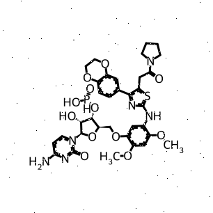 COc1cc(OC)c(OC[C@H]2O[C@@H](n3ccc(N)nc3=O)[C@H](O)[C@@H]2O[PH](=O)O)cc1Nc1nc(-c2ccc3c(c2)OCCO3)c(CC(=O)N2CCCC2)s1